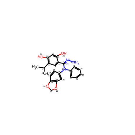 CC(C)c1cc(/C(=N/N)N(c2ccccc2)c2ccc3c(c2)OCO3)c(O)cc1O